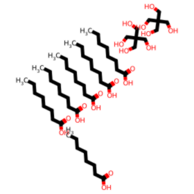 CCCCCCCC(=O)O.CCCCCCCC(=O)O.CCCCCCCC(=O)O.CCCCCCCC(=O)O.CCCCCCCC(=O)O.CCCCCCCC(=O)O.OCC(CO)(CO)CO.OCC(CO)(CO)CO